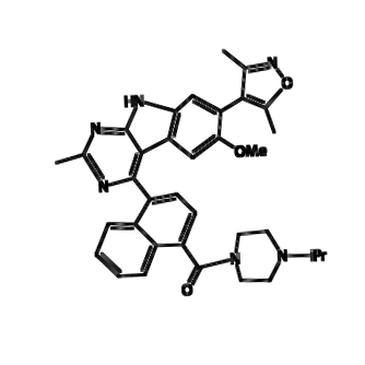 COc1cc2c(cc1-c1c(C)noc1C)[nH]c1nc(C)nc(-c3ccc(C(=O)N4CCN(C(C)C)CC4)c4ccccc34)c12